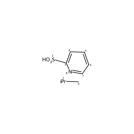 CC(C)C.O=S(=O)(O)c1ccccn1